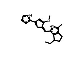 CCC1CCc2c(C)[nH]c(C=C3N=C(c4ccc[nH]4)C=C3OC)c21